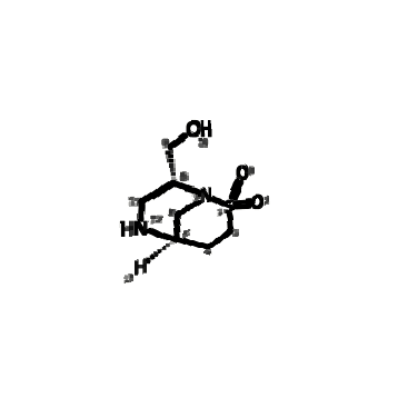 O=S1(=O)CC[C@@H]2CN1[C@@H](CO)CN2